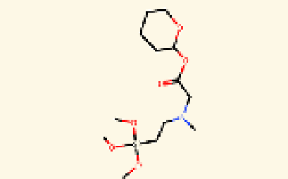 CO[Si](CCN(C)CC(=O)OC1CCCCO1)(OC)OC